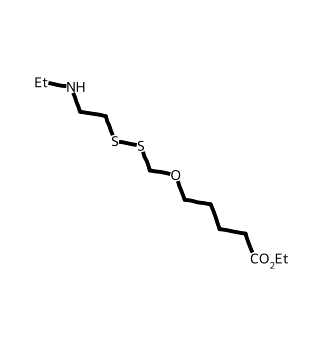 CCNCCSSCOCCCCC(=O)OCC